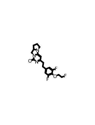 O=c1nc(CCc2cc(F)c(OCCF)c(F)c2)cc2n1CC1CCCN21